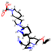 CCOc1cc(-c2ccc(N3CC[C@]4(CCCN(C(=O)O)C4)C3)nc2)c2c(C#N)cnn2c1